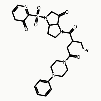 CC(C)CC(CC(=O)N1CCN(c2ccccc2)CC1)C(=O)N1CCC2C1C(=O)CN2S(=O)(=O)C1=NC=CCC1=O